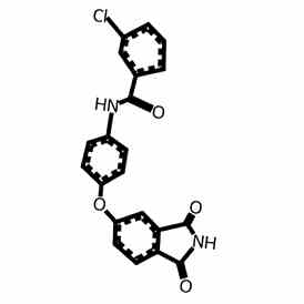 O=C(Nc1ccc(Oc2ccc3c(c2)C(=O)NC3=O)cc1)c1cccc(Cl)c1